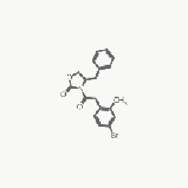 Cc1cc(Br)ccc1CC(=O)N1C(=O)OCC1Cc1ccccc1